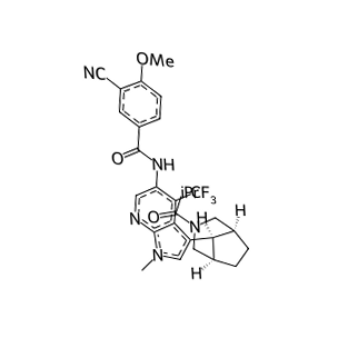 COc1ccc(C(=O)Nc2cnc3c(c([C@H]4[C@@H]5CC[C@H]4CN(C(=O)C(C)C)C5)cn3C)c2C(F)(F)F)cc1C#N